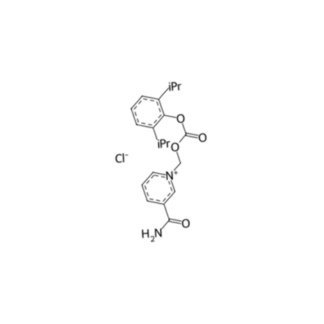 CC(C)c1cccc(C(C)C)c1OC(=O)OC[n+]1cccc(C(N)=O)c1.[Cl-]